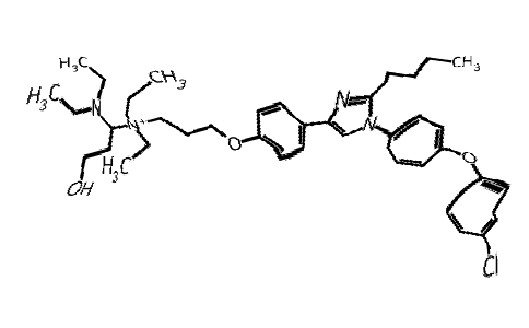 CCCCc1nc(-c2ccc(OCCC[N+](CC)(CC)C(CCO)N(CC)CC)cc2)cn1-c1ccc(Oc2ccc(Cl)cc2)cc1